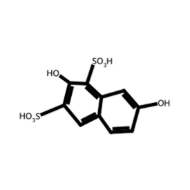 O=S(=O)(O)c1cc2ccc(O)cc2c(S(=O)(=O)O)c1O